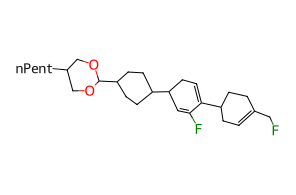 CCCCCC1COC(C2CCC(C3C=C(F)C(C4CC=C(CF)CC4)=CC3)CC2)OC1